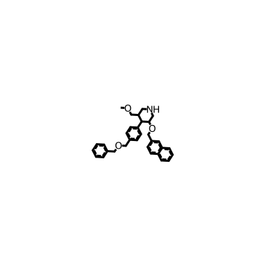 COCC1CNCC(OCc2ccc3ccccc3c2)C1c1ccc(COCc2ccccc2)cc1